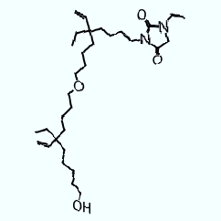 C=CC(CC)(CCCCCO)CCCCOCCCCC(C=C)(CC)CCCCN1C(=O)CN(CC)C1=O